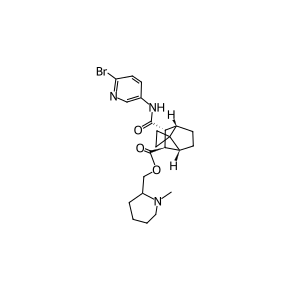 CN1CCCCC1COC(=O)[C@H]1[C@H](C(=O)Nc2ccc(Br)nc2)[C@@H]2CC[C@H]1C21CC1